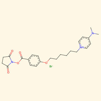 CN(C)c1cc[n+](CCCCCCOc2ccc(C(=O)ON3C(=O)CCC3=O)cc2)cc1.[Br-]